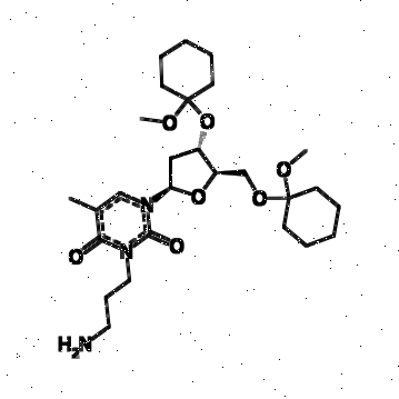 COC1(OC[C@H]2O[C@@H](n3cc(C)c(=O)n(CCCN)c3=O)C[C@@H]2OC2(OC)CCCCC2)CCCCC1